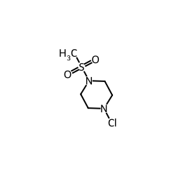 CS(=O)(=O)N1CCN(Cl)CC1